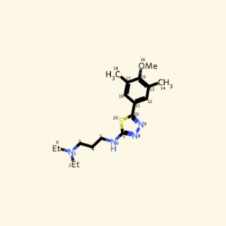 CCN(CC)CCCNc1nnc(-c2cc(C)c(OC)c(C)c2)s1